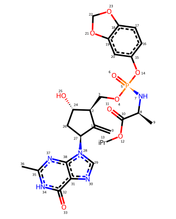 C=C1[C@H](CO[P@@](=O)(N[C@@H](C)C(=O)OC(C)C)Oc2ccc3c(c2)OCO3)[C@@H](O)C[C@@H]1n1cnc2c(=O)[nH]c(C)nc21